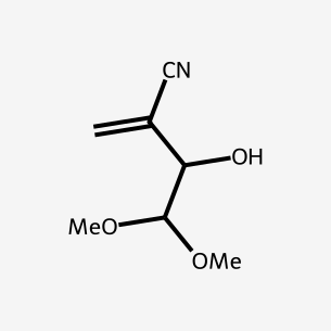 C=C(C#N)C(O)C(OC)OC